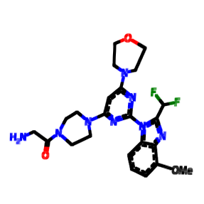 COc1cccc2c1nc(C(F)F)n2-c1nc(N2CCOCC2)cc(N2CCN(C(=O)CN)CC2)n1